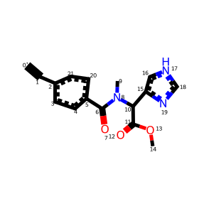 [C]#Cc1ccc(C(=O)N(C)C(C(=O)OC)c2c[nH]cn2)cc1